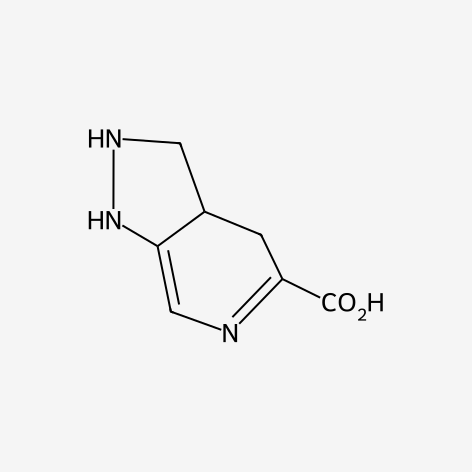 O=C(O)C1=NC=C2NNCC2C1